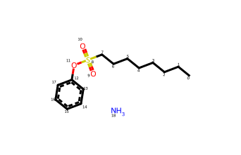 CCCCCCCCS(=O)(=O)Oc1ccccc1.N